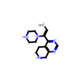 O=CC=C(c1ncnc2c1CCNC2)N1CCNCC1